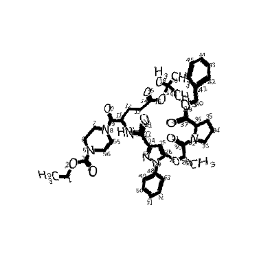 CCOC(=O)N1CCN(C(=O)C(CCC(=O)OC(C)(C)C)NC(=O)c2cc(O[C@@H](C)C(=O)N3CCCC3C(=O)OCc3ccccc3)n(-c3ccccc3)n2)CC1